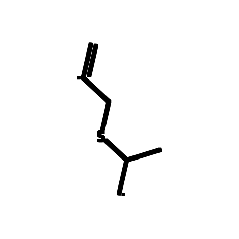 [CH2]C(C)SC[C]=C